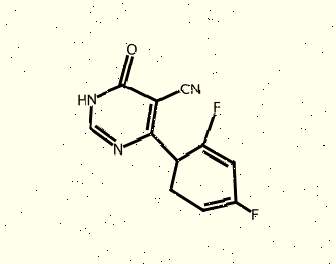 N#Cc1c(C2CC=C(F)C=C2F)nc[nH]c1=O